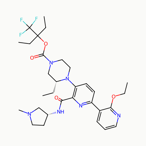 CCOc1ncccc1-c1ccc(N2CCN(C(=O)OC(CC)(CC)C(F)(F)F)C[C@H]2CC)c(C(=O)N[C@@H]2CCN(C)C2)n1